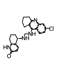 O=c1ccc2c([nH]1)CCC[C@H]2NCNc1c2c(nc3cc(Cl)ccc13)CCCC2